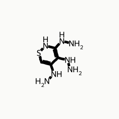 NNC1=CSNC(NN)=C1NN